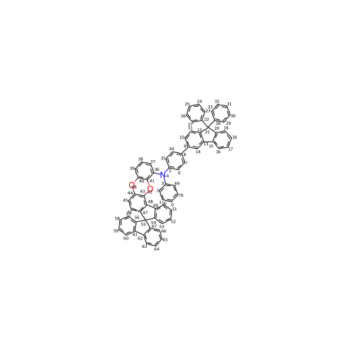 c1ccc(N(c2ccc(-c3ccc4c(c3)-c3ccccc3C4(c3ccccc3)c3ccccc3)cc2)c2cccc3c2Oc2c(ccc4c2-c2ccccc2C42c4ccccc4-c4ccccc42)O3)cc1